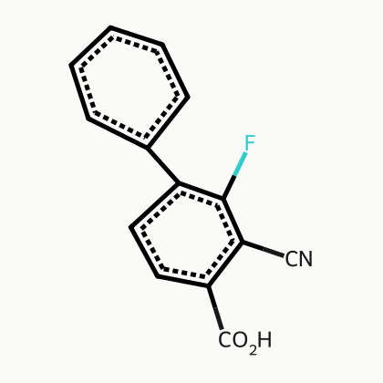 N#Cc1c(C(=O)O)ccc(-c2ccccc2)c1F